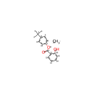 CC(C)(C)c1ccc(OC(=O)c2ccccc2O)cc1.[CH3]